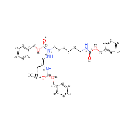 O=C(O)C[C@@H](CNN(CCCCCCNC(=O)OCc1ccccc1)C(=O)OCc1ccccc1)NC(=O)OCc1ccccc1